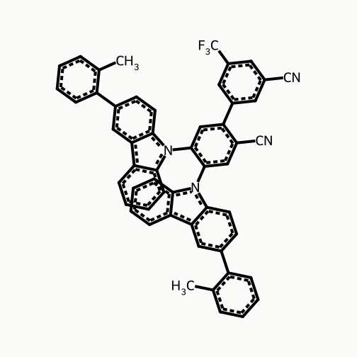 Cc1ccccc1-c1ccc2c(c1)c1ccccc1n2-c1cc(C#N)c(-c2cc(C#N)cc(C(F)(F)F)c2)cc1-n1c2ccccc2c2cc(-c3ccccc3C)ccc21